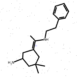 C/C(NCCc1ccccc1)=C1\CC(N)CC(C)(C)C1